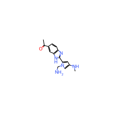 CNc1cc(-c2nc3ccc(C(C)=O)cc3[nH]2)n(CN)c1